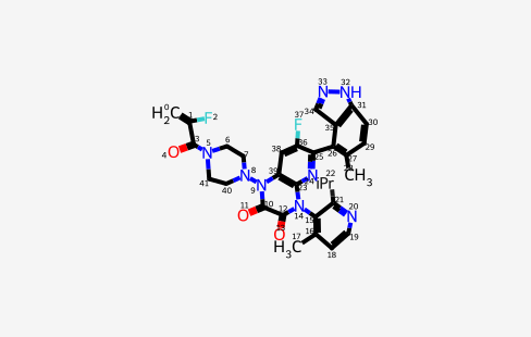 C=C(F)C(=O)N1CCN(n2c(=O)c(=O)n(-c3c(C)ccnc3C(C)C)c3nc(-c4c(C)ccc5[nH]ncc45)c(F)cc32)CC1